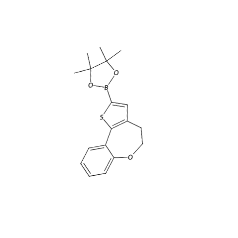 CC1(C)OB(c2cc3c(s2)-c2ccccc2OCC3)OC1(C)C